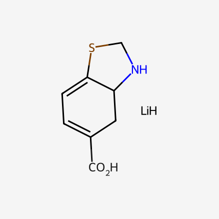 O=C(O)C1=CC=C2SCNC2C1.[LiH]